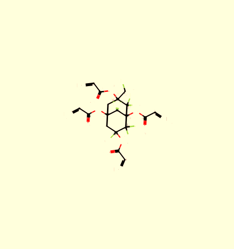 C=CC(=O)OC1(F)CC2(OC(=O)C=C)CC(CF)(OC(=O)C=C)C(F)(F)C(OC(=O)C=C)(C1(F)F)C2(F)F